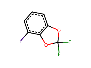 FC1(F)Oc2cccc(I)c2O1